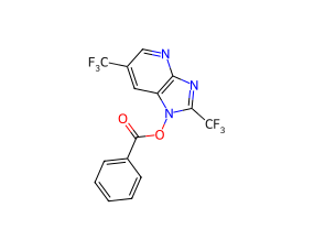 O=C(On1c(C(F)(F)F)nc2ncc(C(F)(F)F)cc21)c1ccccc1